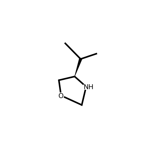 CC(C)[C@@H]1COCN1